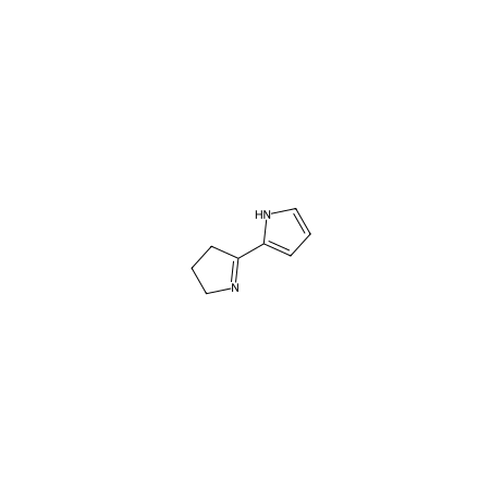 c1c[nH]c(C2=NCCC2)c1